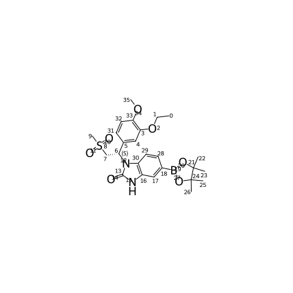 CCOc1cc([C@@H](CS(C)(=O)=O)n2c(=O)[nH]c3cc(B4OC(C)(C)C(C)(C)O4)ccc32)ccc1OC